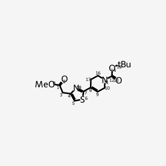 COC(=O)Cc1csc(C2=CCN(C(=O)OC(C)(C)C)CC2)n1